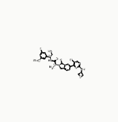 COc1cc(F)cc([C@@H](CO)NC(=O)[C@@H](C)N2Cc3ccc(-c4nc(NC5COC5)ncc4Cl)cc3C2=O)c1